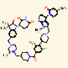 CNc1ccn(-c2ccnc3c2cc(CN2CC=C(c4c(C)cc(C(=O)N5CCC(CN6CCN(Cc7ccc8c(c7)C(C)(C)C(=O)N8[C@H]7CCC(=O)NC7=O)C[C@@H]6C)CC5)cc4F)CC2)n3C)c(=O)c1